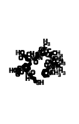 CC[C@H](C)[C@H](NC(=O)C1CCCCN1C)C(=O)N(C)[C@H](C[C@@H](OC(C)=O)c1nc(C(=O)N[C@@H](Cc2ccc(OS(=O)(=O)O)c(NC(=O)CCCS)c2)CC(C)C(=O)O)cs1)C(C)C